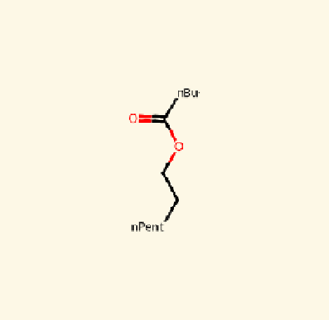 CCC[CH]C(=O)OCCCCCCC